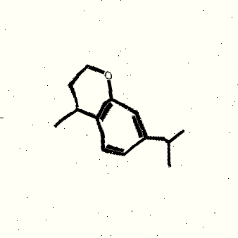 CC(C)c1ccc2c(c1)OCCC2C